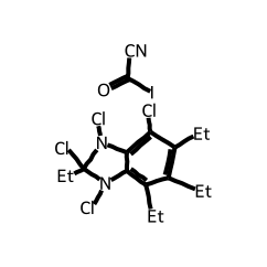 CCc1c(Cl)c2c(c(CC)c1CC)N(Cl)C(Cl)(CC)N2Cl.N#CC(=O)I